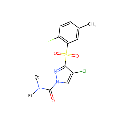 CCN(CC)C(=O)n1cc(Cl)c(S(=O)(=O)c2cc(C)ccc2F)n1